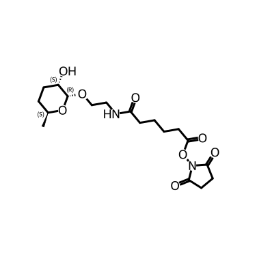 C[C@H]1CC[C@H](O)[C@H](OCCNC(=O)CCCCC(=O)ON2C(=O)CCC2=O)O1